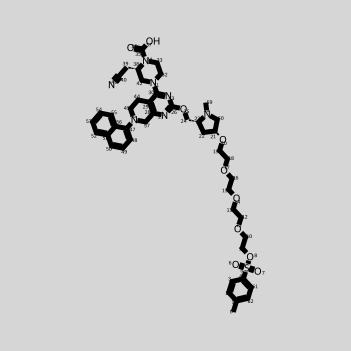 Cc1ccc(S(=O)(=O)OCCOCCOCCOCCO[C@@H]2C[C@H](COc3nc4c(c(N5CCN(C(=O)O)[C@@H](CC#N)C5)n3)CCN(c3cccc5ccccc35)C4)N(C)C2)cc1